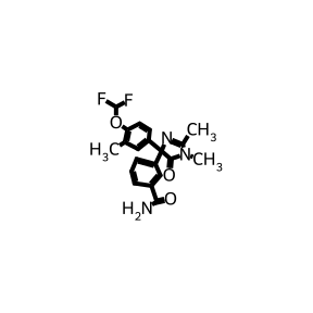 CC1=NC(c2cccc(C(N)=O)c2)(c2ccc(OC(F)F)c(C)c2)C(=O)N1C